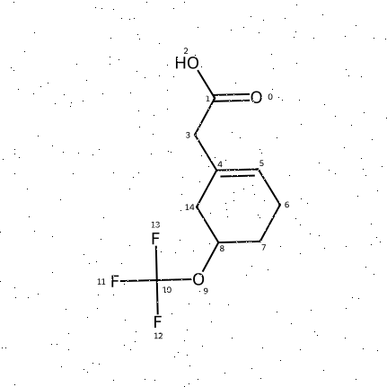 O=C(O)CC1=CCCC(OC(F)(F)F)C1